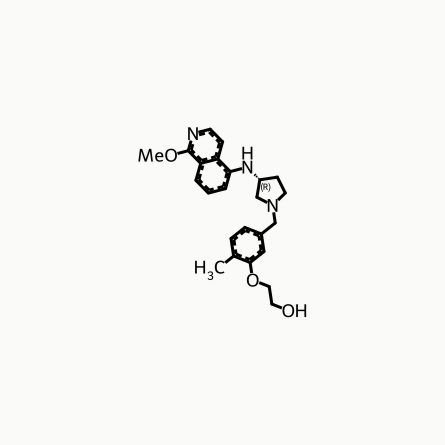 COc1nccc2c(N[C@@H]3CCN(Cc4ccc(C)c(OCCO)c4)C3)cccc12